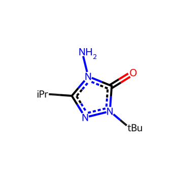 CC(C)c1nn(C(C)(C)C)c(=O)n1N